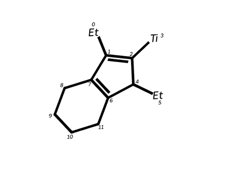 CCC1=[C]([Ti])C(CC)C2=C1CCCC2